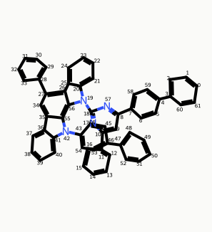 c1ccc(-c2ccc(-c3cc(-c4ccccc4)nc(-n4c5ccccc5c5c(-c6ccccc6)cc6c7ccccc7n(-c7ccc(-c8ccccc8)cc7)c6c54)n3)cc2)cc1